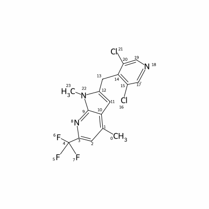 Cc1cc(C(F)(F)F)nc2c1cc(Cc1c(Cl)[c]ncc1Cl)n2C